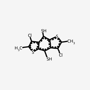 Cc1sc2c(S)c3c(Cl)c(C)sc3c(S)c2c1Cl